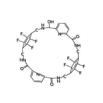 O=C1NCc2c(F)c(F)c(c(F)c2F)CNC(=O)c2cccc(n2)C(O)NCc2c(F)c(F)c(c(F)c2F)CNC(=O)c2cccc1n2